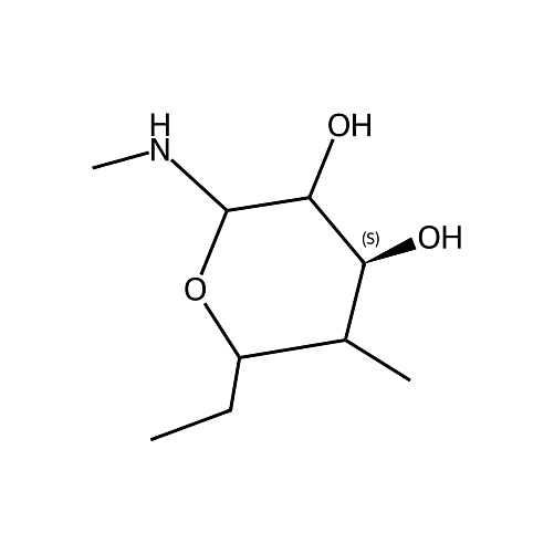 CCC1OC(NC)C(O)[C@@H](O)C1C